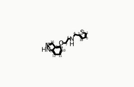 c1csc(CNCCOc2cccc3[nH]ncc23)c1